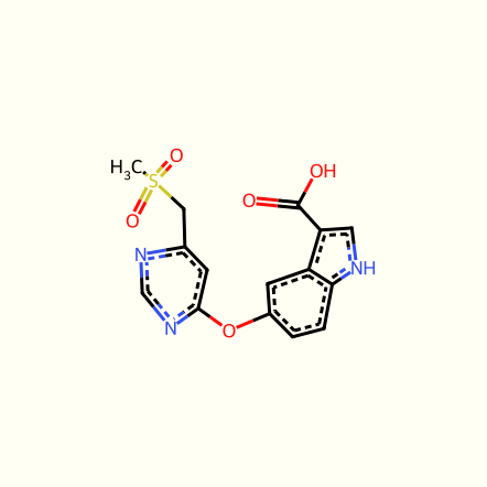 CS(=O)(=O)Cc1cc(Oc2ccc3[nH]cc(C(=O)O)c3c2)ncn1